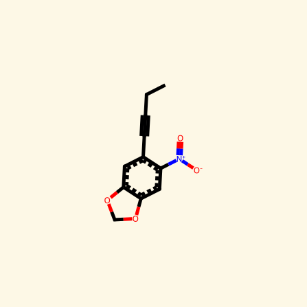 CCC#Cc1cc2c(cc1[N+](=O)[O-])OCO2